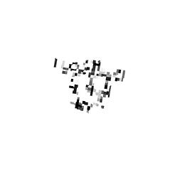 CC(C)(C)c1cc(Cl)nc(CO)n1